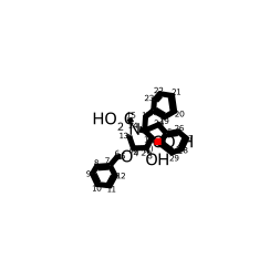 O=C(O)[C@@H]1[C@@H](O)[C@H](OCc2ccccc2)CN(C(=O)O)C1(Cc1ccccc1)Cc1ccccc1